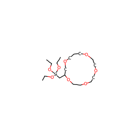 CCO[Si](CC1COCCCOCCOCCOCCO1)(OCC)OCC